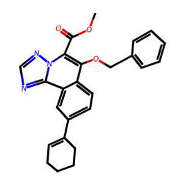 COC(=O)c1c(OCc2ccccc2)c2ccc(C3=CCCCC3)cc2c2ncnn12